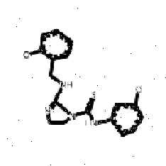 S=C(Nc1cccc(Cl)c1)N1CCN=C1NCc1ccccc1Cl